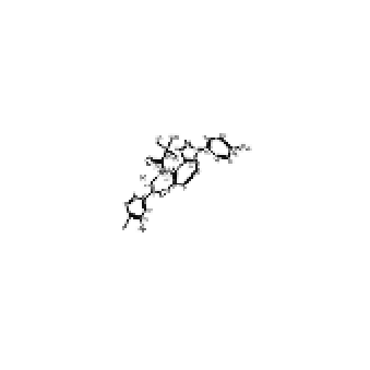 Cc1ccc([C@H](Oc2ccc3c(cnn3-c3ccc(F)cc3)c2)[C@H](C)NC(=O)C(C)(C)F)cc1F